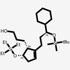 CC[Si](CC)(CC)O[C@H]1CC=C(CC[C@H](O[Si](C)(C)C(C)(C)C)C2CCCCC2)[C@H]1CCCO